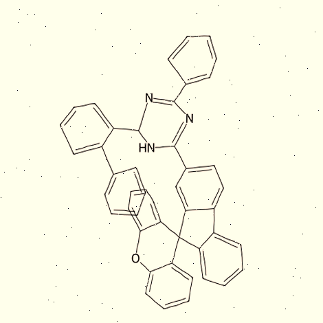 c1ccc(C2=NC(c3ccccc3-c3ccccc3)NC(c3ccc4c(c3)C3(c5ccccc5Oc5ccccc53)c3ccccc3-4)=N2)cc1